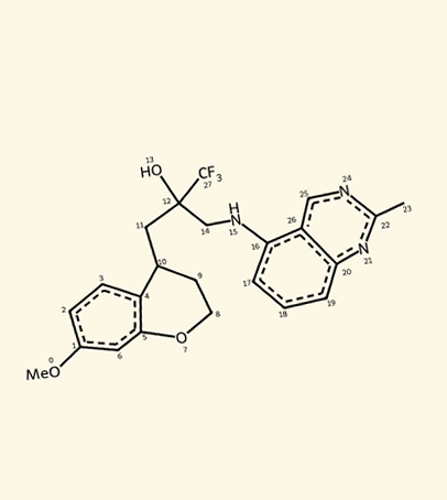 COc1ccc2c(c1)OCCC2CC(O)(CNc1cccc2nc(C)ncc12)C(F)(F)F